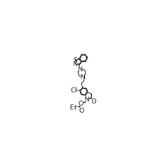 CCC(=O)OCN1C(=O)Cc2cc(CCN3CCN(c4nsc5ccccc45)CC3)c(Cl)cc21